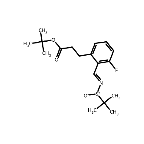 CC(C)(C)OC(=O)CCc1cccc(F)c1/C=N/[S+]([O-])C(C)(C)C